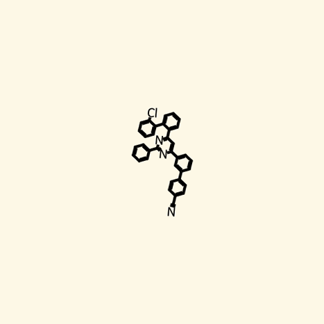 N#Cc1ccc(-c2cccc(-c3cc(-c4ccccc4-c4ccccc4Cl)nc(-c4ccccc4)n3)c2)cc1